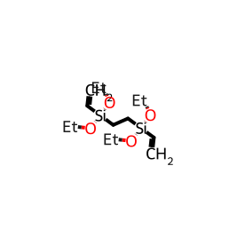 C=C[Si](CC[Si](C=C)(OCC)OCC)(OCC)OCC